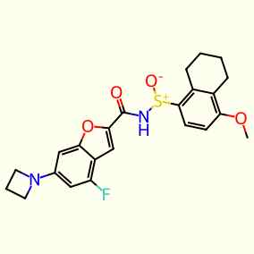 COc1ccc([S+]([O-])NC(=O)c2cc3c(F)cc(N4CCC4)cc3o2)c2c1CCCC2